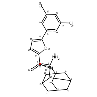 NC(=O)C12CC3CC(C1)C(NC(=O)c1ccc(-c4cc(Cl)cc(Cl)c4)o1)C(C3)C2